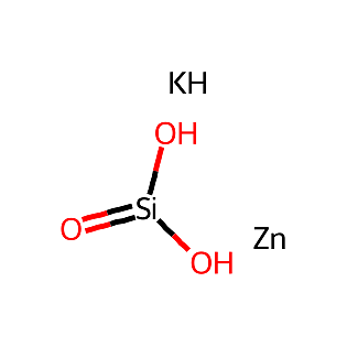 O=[Si](O)O.[KH].[Zn]